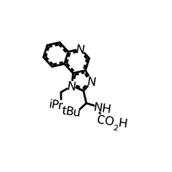 CC(C)Cn1c(C(NC(=O)O)C(C)(C)C)nc2cnc3ccccc3c21